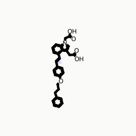 O=C(O)Cc1cn(CC(=O)O)c2cccc(/C=C/c3ccc(OCCCc4ccccc4)cc3)c12